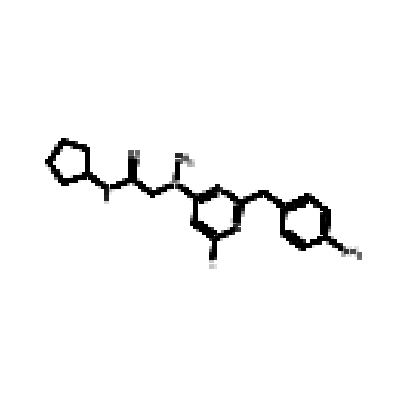 CN(CC(=O)NC1CCCC1)c1[c]c(Cl)nc(Cc2ccc(N)cc2)n1